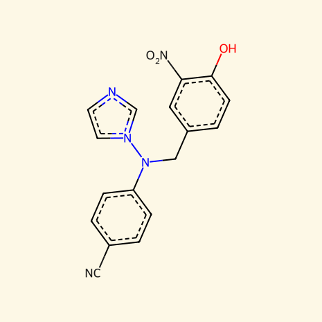 N#Cc1ccc(N(Cc2ccc(O)c([N+](=O)[O-])c2)n2ccnc2)cc1